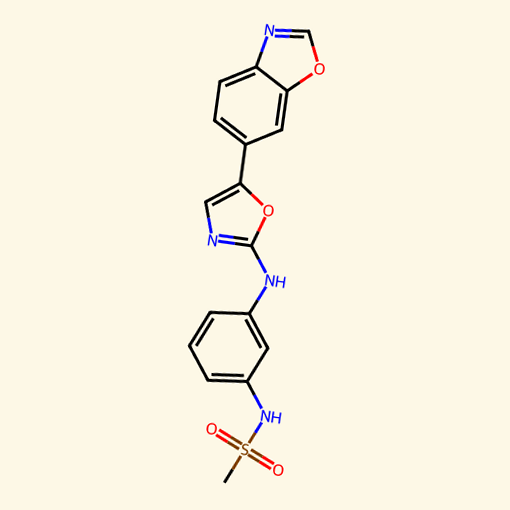 CS(=O)(=O)Nc1cccc(Nc2ncc(-c3ccc4ncoc4c3)o2)c1